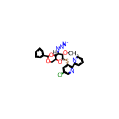 COC1C(N=[N+]=[N-])[C@H]2OC(c3ccccc3)OCC2O[C@@H]1Sc1cc(Cl)cnc1-c1ccccn1